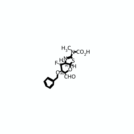 CN(C(=O)O)C1=N[C@@H]2[C@@H](F)[C@H](OCc3ccccc3)[C@@H](C=O)O[C@@H]2S1